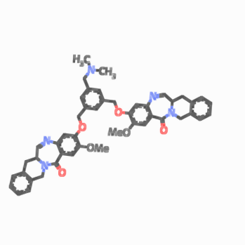 COc1cc2c(cc1OCc1cc(COc3cc4c(cc3OC)C(=O)N3Cc5ccccc5CC3C=N4)cc(CN(C)C)c1)N=CC1Cc3ccccc3CN1C2=O